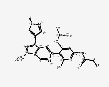 Cn1cc(-c2nn(C(=O)O)c3cnc(-c4c(F)cc(NC(=O)CCl)cc4OC(F)F)cc23)cn1